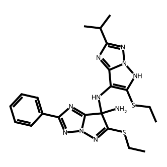 CCSC1=Nn2nc(-c3ccccc3)nc2C1(N)Nc1c(SCC)[nH]n2nc(C(C)C)nc12